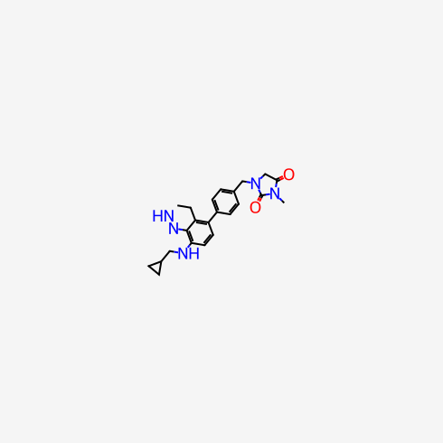 CCc1c(-c2ccc(CN3CC(=O)N(C)C3=O)cc2)ccc(NCC2CC2)c1N=N